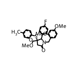 COC(=O)C1(Sc2ccc(C)cc2)CC(=O)N(Cc2ccc(OC)cc2OC)C1c1ccc(F)cc1